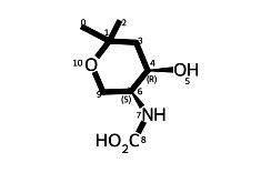 CC1(C)C[C@@H](O)[C@@H](NC(=O)O)CO1